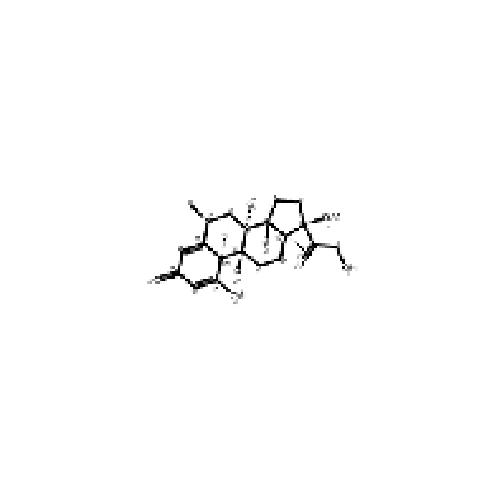 CC(=O)O[C@]1(C(=O)CO)CC[C@H]2[C@@H]3C[C@H](C)C4=CC(=O)C=C(O)[C@]4(C)[C@H]3CC[C@@]21C